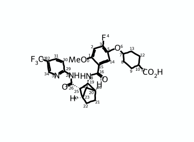 COc1cc(F)c(OC2CCC(C(=O)O)CC2)cc1C(=O)N[C@@H]1[C@H]2CC[C@H](C2)[C@@H]1C(=O)Nc1ccc(C(F)(F)F)cn1